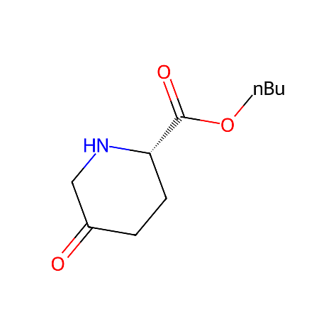 CCCCOC(=O)[C@@H]1CCC(=O)CN1